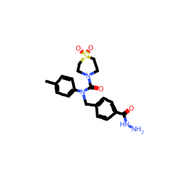 Cc1ccc(N(Cc2ccc(C(=O)NN)cc2)C(=O)N2CCS(=O)(=O)CC2)cc1